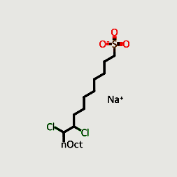 CCCCCCCCC(Cl)C(Cl)CCCCCCCCS(=O)(=O)[O-].[Na+]